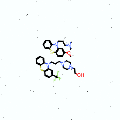 COc1ccc2c(c1)N(C[C@H](C)CN(C)C)c1ccccc1S2.OCCN1CCN(CCCN2c3ccccc3Sc3ccc(C(F)(F)F)cc32)CC1